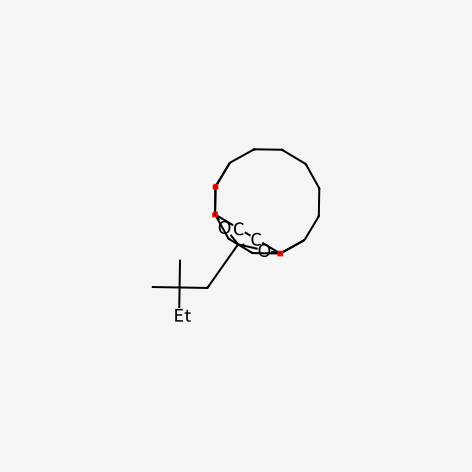 [CH2]CC(C)(C)C[C]1OC2CCC(O1)C1CCCCCC(CCCCC1)C2